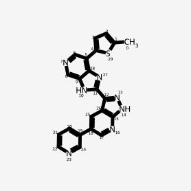 Cc1ccc(-c2cncc3[nH]c(-c4n[nH]c5ncc(-c6cccnc6)cc45)nc23)s1